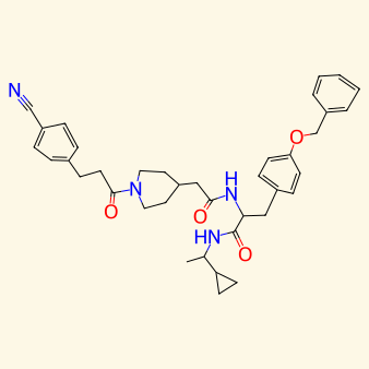 CC(NC(=O)C(Cc1ccc(OCc2ccccc2)cc1)NC(=O)CC1CCN(C(=O)CCc2ccc(C#N)cc2)CC1)C1CC1